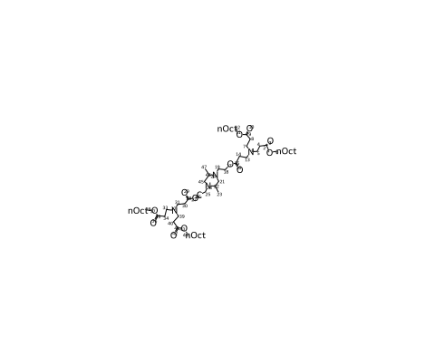 CCCCCCCCOC(=O)CCN(CCC(=O)OCCCCCCCC)CCC(=O)OCCN1CC(C)N(CCOC(=O)CCN(CCC(=O)OCCCCCCCC)CCC(=O)OCCCCCCCC)CC1C